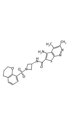 Cc1nnc2sc(C(=O)NC3CN(S(=O)(=O)c4cccc5c4OCCC5)C3)c(N)c2c1C